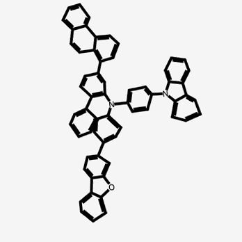 c1ccc(-c2ccc(-c3cccc4c3ccc3ccccc34)cc2N(c2ccc(-c3ccc4c(c3)oc3ccccc34)cc2)c2ccc(-n3c4ccccc4c4ccccc43)cc2)cc1